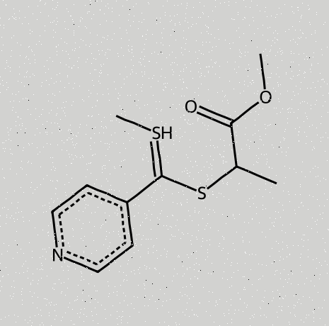 COC(=O)C(C)SC(=[SH]C)c1ccncc1